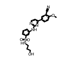 COc1ccc(-c2ccnc(Nc3cccc(S(=O)(=O)NCCCO)c3)n2)cc1C#N